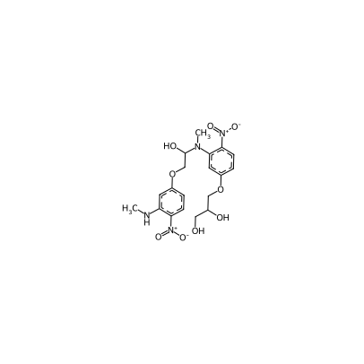 CNc1cc(OCC(O)N(C)c2cc(OCC(O)CO)ccc2[N+](=O)[O-])ccc1[N+](=O)[O-]